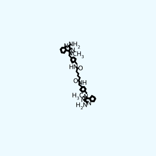 Cc1nc2c(N)nc3ccccc3c2n1Cc1ccc(CNC(=O)CCCCC(=O)NCc2ccc(Cn3c(C)nc4c(N)nc5ccccc5c43)cc2)cc1